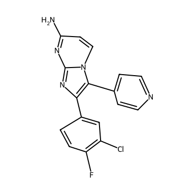 Nc1ccn2c(-c3ccncc3)c(-c3ccc(F)c(Cl)c3)nc2n1